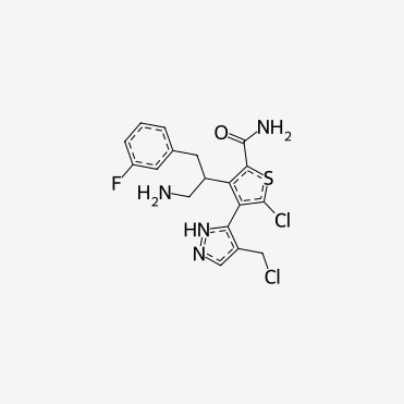 NCC(Cc1cccc(F)c1)c1c(C(N)=O)sc(Cl)c1-c1[nH]ncc1CCl